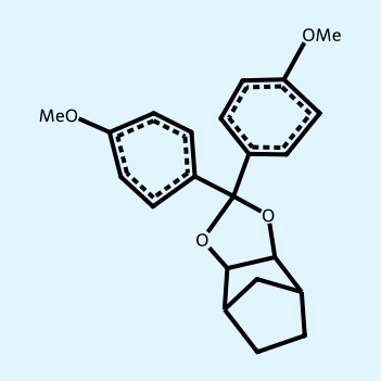 COc1ccc(C2(c3ccc(OC)cc3)OC3C4CCC(C4)C3O2)cc1